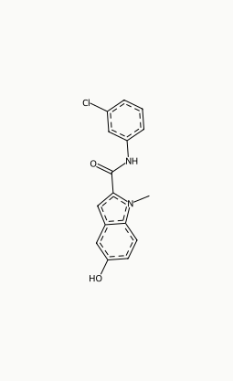 Cn1c(C(=O)Nc2cccc(Cl)c2)cc2cc(O)ccc21